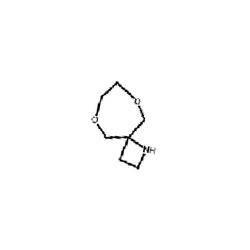 C1CC2(COCCOC2)N1